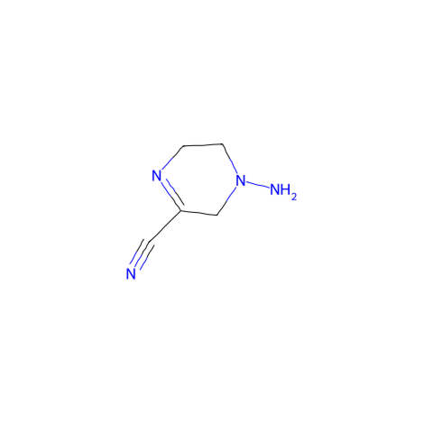 N#CC1=NCCN(N)C1